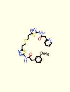 COc1cccc(CC(=O)Nc2nnc(CCSCCc3nnc(NC(=O)Cc4ccccn4)s3)s2)c1